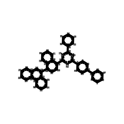 c1ccc(-c2ccc(-c3nc(-c4ccccc4)nc(-c4ccc(-c5cc6ccccc6c6ccccc56)c5ccccc45)n3)cc2)cc1